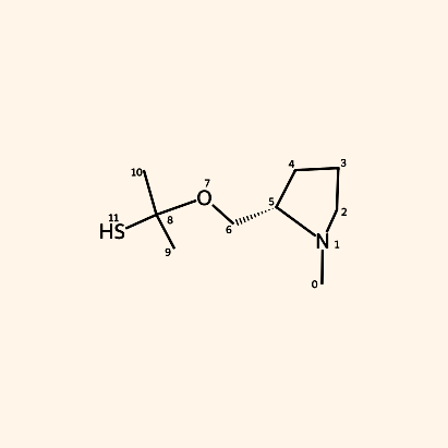 CN1CCC[C@H]1COC(C)(C)S